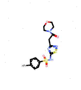 CCCc1ccc(S(=O)(=O)Nc2nc(CC(=O)N3CCOCC3)ns2)cc1